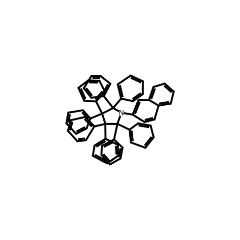 c1ccc(C2(c3ccccc3)N(c3ccc4ccccc4c3)C(c3ccccc3)(c3ccccc3)C(c3ccccc3)(c3ccccc3)C2(c2ccccc2)c2ccccc2)cc1